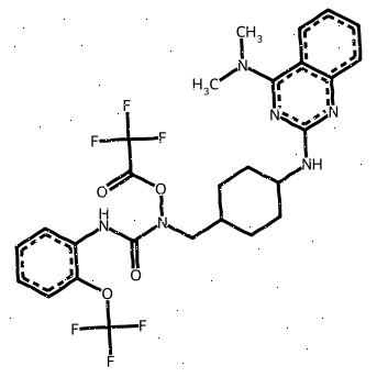 CN(C)c1nc(NC2CCC(CN(OC(=O)C(F)(F)F)C(=O)Nc3ccccc3OC(F)(F)F)CC2)nc2ccccc12